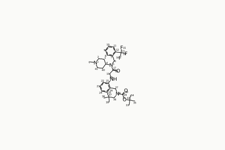 CN1CCC(N(Cc2ccccc2C(F)(F)F)C(=O)CNc2cccc3c2CN(C(=O)OC(C)(C)C)CC3(C)C)CC1